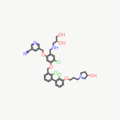 N#Cc1cncc(COc2cc(OCc3cccc(-c4cccc(OCCCN5CC[C@@H](O)C5)c4Cl)c3Cl)c(Cl)cc2CNC[C@H](O)CO)c1